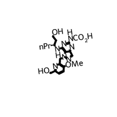 CCC[C@@H](CCO)Nc1nc(NC(=O)O)nc2cnn(Cc3nc(CO)ccc3OC)c12